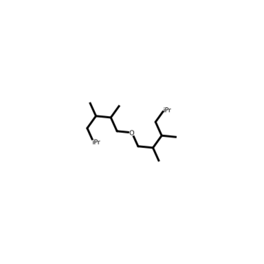 CC(C)CC(C)C(C)COCC(C)C(C)CC(C)C